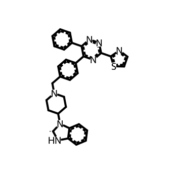 [CH]1Nc2ccccc2N1C1CCN(Cc2ccc(-c3nc(-c4nccs4)nnc3-c3ccccc3)cc2)CC1